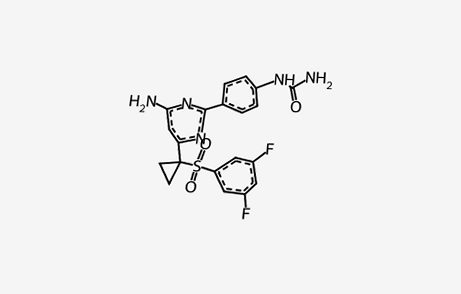 NC(=O)Nc1ccc(-c2nc(N)cc(C3(S(=O)(=O)c4cc(F)cc(F)c4)CC3)n2)cc1